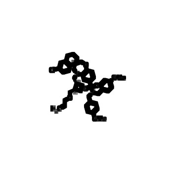 C=CCOC[C@@H]1CC[C@H]1CN1C[C@@]2(CCCc3cc(Cl)ccc32)COc2ccc(S(=O)(=O)N(Cc3ccc(OC)cc3)Cc3ccc(OC)cc3)cc21